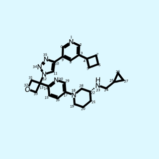 c1ncc(C2CCC2)cc1-c1cn(C2(c3ccc(N4CCC[C@@H](NCC5CC5)C4)cn3)COC2)nn1